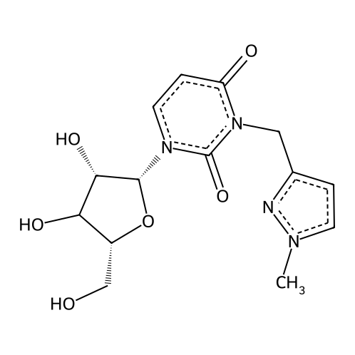 Cn1ccc(Cn2c(=O)ccn([C@@H]3O[C@H](CO)C(O)[C@@H]3O)c2=O)n1